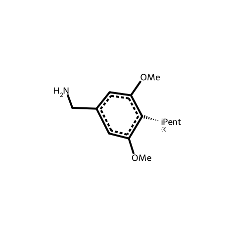 CCC[C@@H](C)c1c(OC)cc(CN)cc1OC